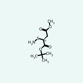 COC(=O)C[C@H](SN)C(=O)OC(C)(C)C